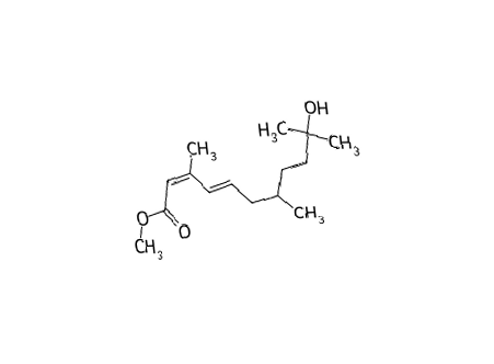 COC(=O)C=C(C)C=CCC(C)CCC(C)(C)O